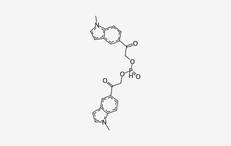 Cn1ccc2cc(C(=O)CO[PH](=O)OCC(=O)c3ccc4c(ccn4C)c3)ccc21